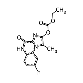 CCOC(=O)Oc1nc2c(=O)[nH]c3ccc(F)cc3n2c1C